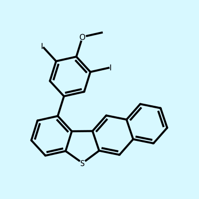 COc1c(I)cc(-c2cccc3sc4cc5ccccc5cc4c23)cc1I